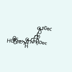 CCCCCCCCCCCC(=O)OCC(CCCC(N)C(=O)N[C@@H](C)COCCSP(=O)(O)O)OC(=O)CCCCCCCCCCC